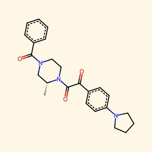 C[C@@H]1CN(C(=O)c2ccccc2)CCN1C(=O)C(=O)c1ccc(N2CCCC2)cc1